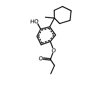 CCC(=O)Oc1ccc(O)c(C2(C)CCCCC2)c1